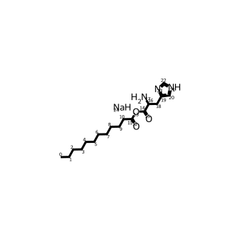 CCCCCCCCCCCC(=O)OC(=O)C(N)Cc1c[nH]cn1.[NaH]